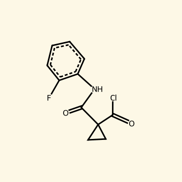 O=C(Cl)C1(C(=O)Nc2ccccc2F)CC1